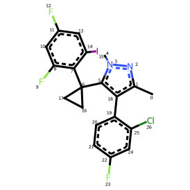 Cc1nn(C)c(C2(c3c(F)cc(F)cc3I)CC2)c1-c1ccc(F)cc1Cl